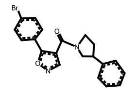 O=C(c1cnoc1-c1ccc(Br)cc1)N1CCC(c2ccccc2)C1